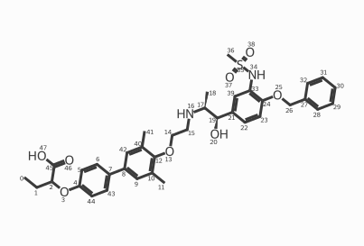 CCC(Oc1ccc(-c2cc(C)c(OCCN[C@@H](C)[C@H](O)c3ccc(OCc4ccccc4)c(NS(C)(=O)=O)c3)c(C)c2)cc1)C(=O)O